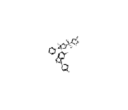 Cc1cc2c(cnn2-c2ccc(F)cc2)cc1[C@@]12CN(S(=O)(=O)c3cn(C)nn3)C[C@@H]1[C@H]2c1ccccc1